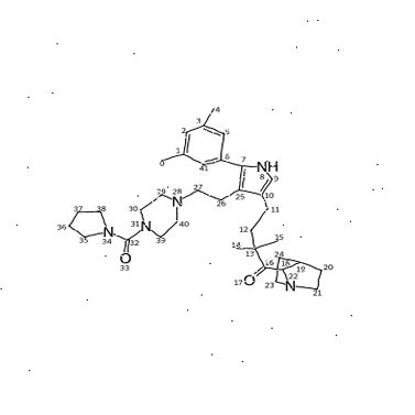 Cc1cc(C)cc(-c2[nH]cc(CCC(C)(C)C(=O)C3C4CCN3CC4)c2CCN2CCN(C(=O)N3CCCC3)CC2)c1